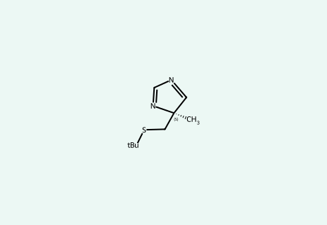 CC(C)(C)SC[C@]1(C)C=NC=N1